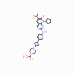 CC(=O)c1cc2cnc(Nc3ccc(C4CC(N5CCN(C(=O)O)CC5)C4)cn3)nc2n(C2CCCC2)c1=O